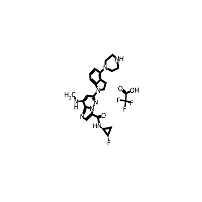 CNc1cc(N2CCc3c(N4CCNCC4)cccc32)nn2c(C(=O)N[C@@H]3C[C@@H]3F)cnc12.O=C(O)C(F)(F)F